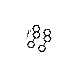 [Cl][Ir][Cl].c1ccc(-c2ccc3ccccc3n2)cc1.c1ccc(-c2ccc3ccccc3n2)cc1